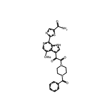 COc1cnc(-c2ncc(C(N)=O)s2)c2[nH]cc(C(=O)C(=O)N3CCN(C(=O)c4ccccc4)CC3)c12